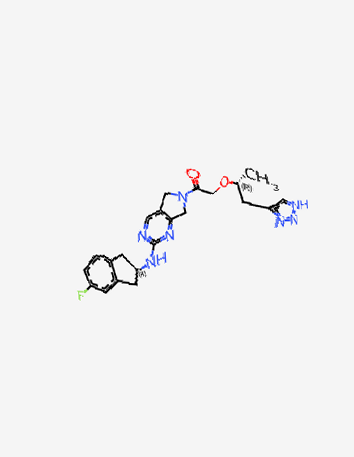 C[C@H](Cc1c[nH]nn1)OCC(=O)N1Cc2cnc(N[C@@H]3Cc4ccc(F)cc4C3)nc2C1